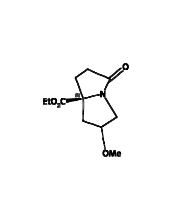 CCOC(=O)[C@@]12CCC(=O)N1CC(OC)C2